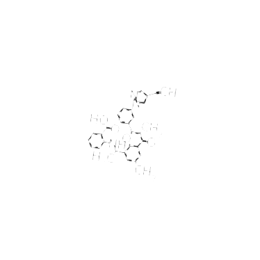 C#Cc1cnn(-c2cccc(-c3oc4c(C(C)Nc5ccccc5C(=O)O)cc(C)cc4c(=O)c3C)c2)c1